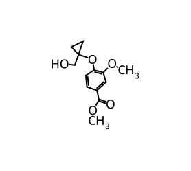 COC(=O)c1ccc(OC2(CO)CC2)c(OC)c1